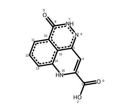 O=C(O)C1=Cc2n[nH]c(=O)c3cccc(c23)N1